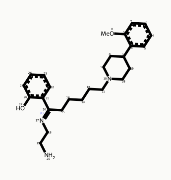 COc1ccccc1C1CCN(CCCCC/C(=N\CCN)c2ccccc2O)CC1